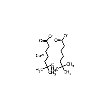 CC(C)(C)CCCCC(=O)[O-].CC(C)(C)CCCCC(=O)[O-].[Co+2]